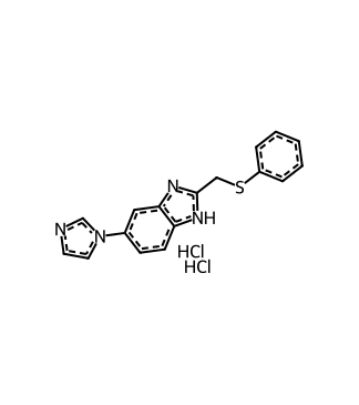 Cl.Cl.c1ccc(SCc2nc3cc(-n4ccnc4)ccc3[nH]2)cc1